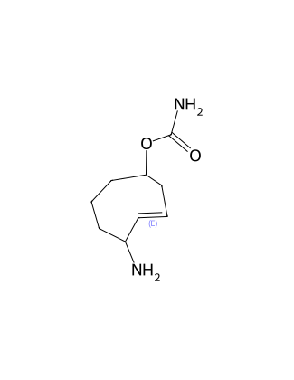 NC(=O)OC1C/C=C/C(N)CCC1